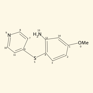 COc1ccc(Sc2ccncc2)c(N)c1